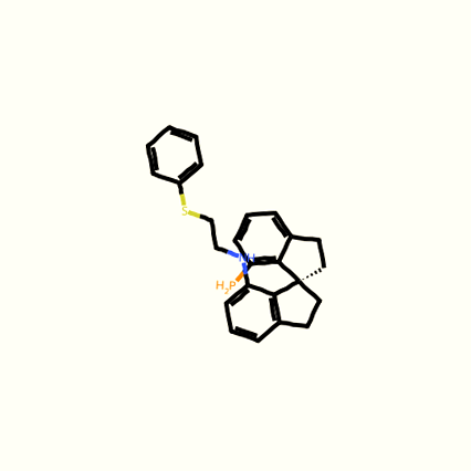 Pc1cccc2c1[C@@]1(CC2)CCc2cccc(NCCSc3ccccc3)c21